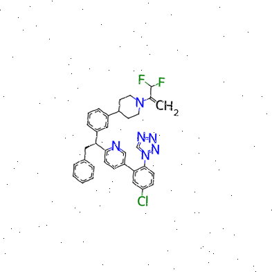 C=C(C(F)F)N1CCC(c2cccc([C@H](Cc3ccccc3)c3ccc(-c4cc(Cl)ccc4-n4cnnn4)cn3)c2)CC1